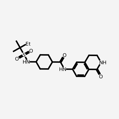 CCC(C)(C)S(=O)(=O)NC1CCC(C(=O)Nc2ccc3c(c2)CCNC3=O)CC1